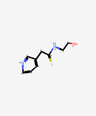 OCCNC(=S)Cc1cccnc1